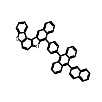 c1ccc2cc(-c3c4ccccc4c(-c4ccc(-c5c6ccccc6cc6c5oc5ccc7oc8ccccc8c7c56)cc4)c4ccccc34)ccc2c1